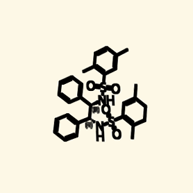 CC1=CC(S(=O)(=O)N[C@H](c2ccccc2)[C@H](NS(=O)(=O)c2cc(C)ccc2C)c2ccccc2)=C(C)CC1